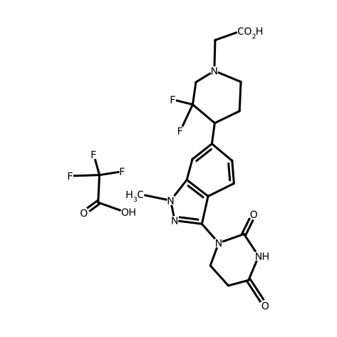 Cn1nc(N2CCC(=O)NC2=O)c2ccc(C3CCN(CC(=O)O)CC3(F)F)cc21.O=C(O)C(F)(F)F